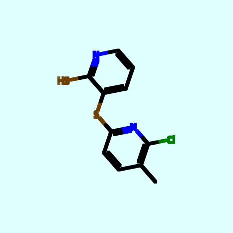 Cc1ccc(Sc2cccnc2S)nc1Cl